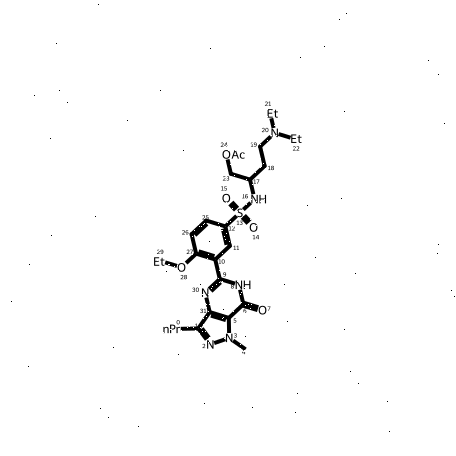 CCCc1nn(C)c2c(=O)[nH]c(-c3cc(S(=O)(=O)NC(CCN(CC)CC)COC(C)=O)ccc3OCC)nc12